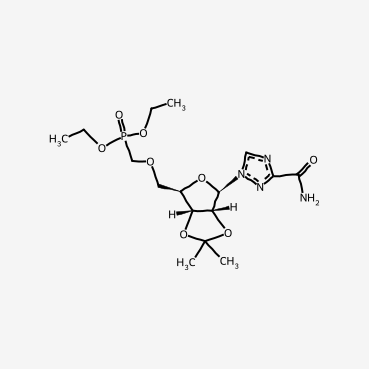 CCOP(=O)(COC[C@H]1O[C@@H](n2cnc(C(N)=O)n2)[C@@H]2OC(C)(C)O[C@@H]21)OCC